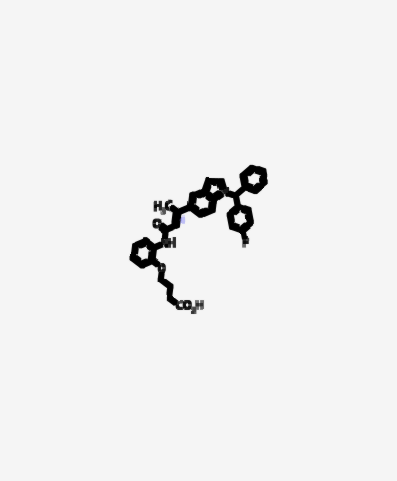 C/C(=C\C(=O)Nc1ccccc1OCCCC(=O)O)c1ccc2c(ccn2C(c2ccccc2)c2ccc(F)cc2)c1